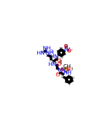 CS(=O)(=O)N[C@H](Cc1ccccc1)C(=O)NCC(=O)N[C@@H](CCCNC(=N)N)C(=O)Nc1ccc([N+](=O)[O-])cc1